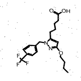 CCCCOc1cc(CCCCC(=O)O)n(Cc2ccc(C(F)(F)F)cc2)n1